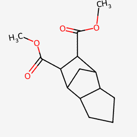 COC(=O)C1C2CC(C3CCCC32)C1C(=O)OC